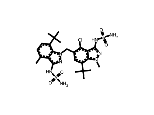 Cc1ccc(C(C)(C)C)c2c1c(NS(N)(=O)=O)nn2Cc1cc(C(C)(C)C)c2c(c(NS(N)(=O)=O)nn2C)c1Cl